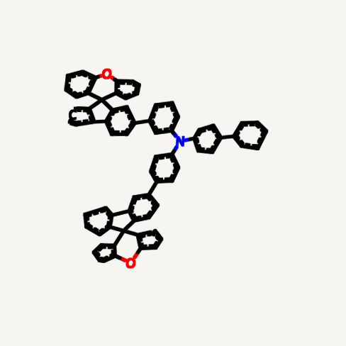 c1ccc(-c2ccc(N(c3ccc(-c4ccc5c(c4)-c4ccccc4C54c5ccccc5Oc5ccccc54)cc3)c3cccc(-c4ccc5c(c4)C4(c6ccccc6Oc6ccccc64)c4ccccc4-5)c3)cc2)cc1